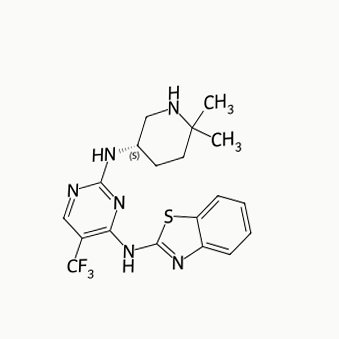 CC1(C)CC[C@H](Nc2ncc(C(F)(F)F)c(Nc3nc4ccccc4s3)n2)CN1